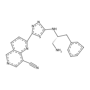 N#Cc1cncc2ccc(-c3nnc(N[C@@H](CN)Cc4ccccc4)s3)nc12